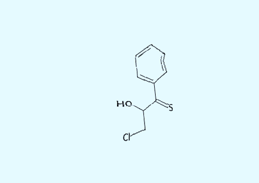 OC(CCl)C(=S)c1ccccc1